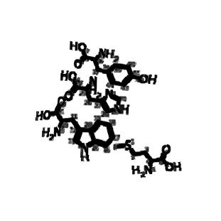 CSCCC(N)C(=O)O.NC(Cc1c[nH]c2ccccc12)C(=O)O.NC(Cc1c[nH]cn1)C(=O)O.NC(Cc1ccc(O)cc1)C(=O)O